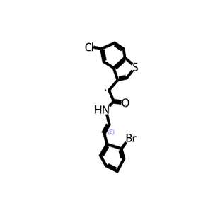 O=C([CH]c1csc2ccc(Cl)cc12)N/C=C/c1ccccc1Br